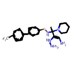 CC(NSc1ccc(-c2ccc(C(F)(F)F)cc2)cc1)(/C(=C/N)NN)N1CCCCC1